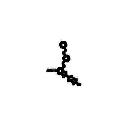 CC(=O)Nc1cc(OCc2cccc(OCc3ccccc3)c2)c2cc(-c3cn4nc(Br)sc4n3)oc2c1